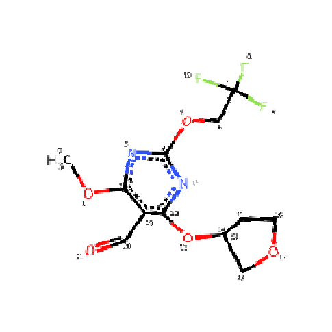 COc1nc(OCC(F)(F)F)nc(O[C@H]2CCOC2)c1C=O